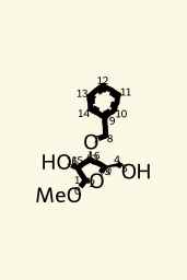 COC1O[C@H](CO)[C@@H](OCc2ccccc2)C1O